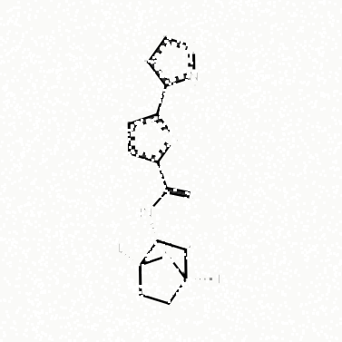 O=C(N[C@@H]1C[C@H]2CC[C@@H]1N2)c1ccc(-c2ccsn2)s1